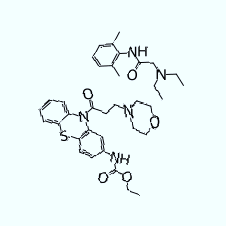 CCN(CC)CC(=O)Nc1c(C)cccc1C.CCOC(=O)Nc1ccc2c(c1)N(C(=O)CCN1CCOCC1)c1ccccc1S2